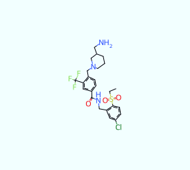 CCS(=O)(=O)c1ccc(Cl)cc1CNC(=O)c1ccc(CN2CCCC(CN)C2)c(C(F)(F)F)c1